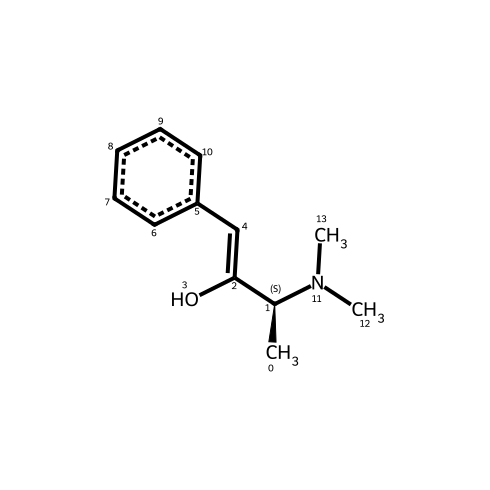 C[C@@H](C(O)=Cc1ccccc1)N(C)C